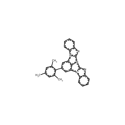 Cc1cc(C)c(-c2cc3c4c(c2)n2c5ccccc5nc2n4c2nc4ccccc4n32)c(C)c1